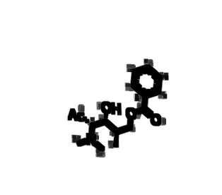 CC(=O)[C@H]([C@H](O)[C@H](C)COC(=O)c1ccccc1)N(C)C